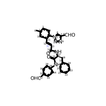 Cc1ccc(-n2cc(C=O)nn2)c(/C=C/C(=O)N[C@@H](Cc2ccccc2)C(=O)Nc2ccc(C=O)cc2)c1